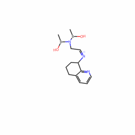 CB(O)N(C/C=N\C1CCCc2cccnc21)B(C)O